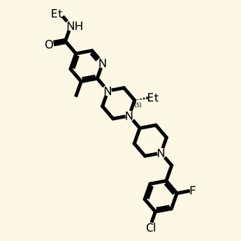 CCNC(=O)c1cnc(N2CCN(C3CCN(Cc4ccc(Cl)cc4F)CC3)[C@@H](CC)C2)c(C)c1